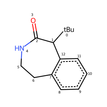 CC(C)(C)C1C(=O)NCCc2ccccc21